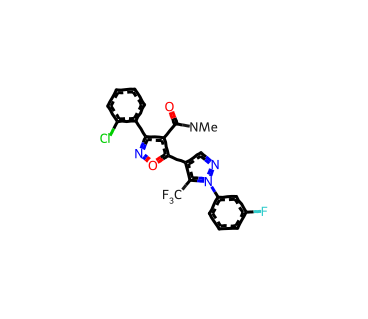 CNC(=O)c1c(-c2ccccc2Cl)noc1-c1cnn(-c2cccc(F)c2)c1C(F)(F)F